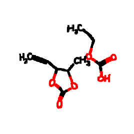 C=CC1OC(=O)OC1C.CCOC(=O)O